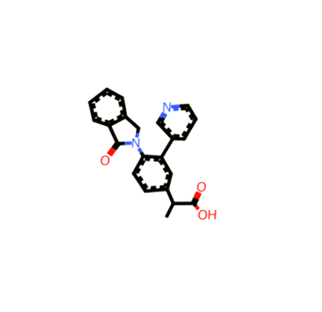 CC(C(=O)O)c1ccc(N2Cc3ccccc3C2=O)c(-c2cccnc2)c1